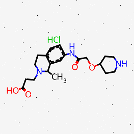 CC1c2cc(NC(=O)COC3CCNCC3)ccc2CCN1CCC(=O)O.Cl